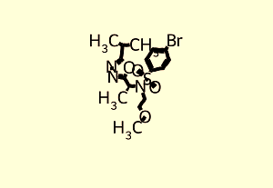 COCCN([C@@H](C)c1nnc(C(C)C)o1)S(=O)(=O)c1ccc(Br)cc1